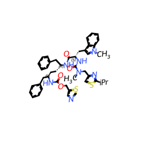 CC(C)c1nc(CN(C)C(=O)N[C@@H](Cc2cn(C)c3ccccc23)C(=O)N[C@H](CC[C@H](Cc2ccccc2)NC(=O)OCc2cncs2)Cc2ccccc2)cs1